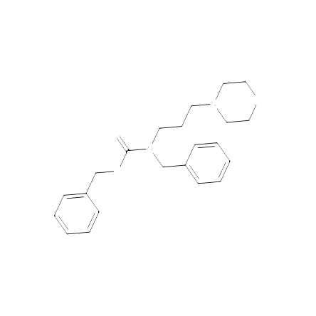 O=C(OCc1ccccc1)N(CCCN1CCOCC1)Cc1ccccc1